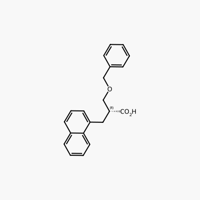 O=C(O)[C@@H](COCc1ccccc1)Cc1cccc2ccccc12